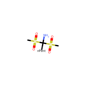 CCCCCC(N)(S(C)(=O)=O)S(C)(=O)=O